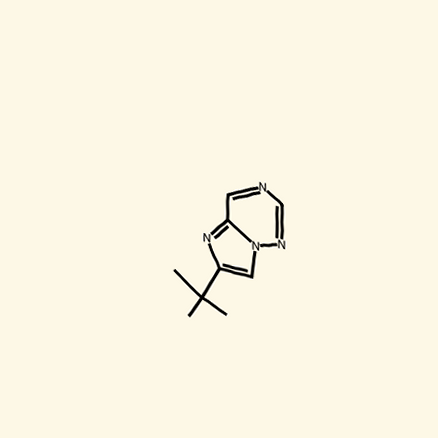 CC(C)(C)c1cn2ncncc2n1